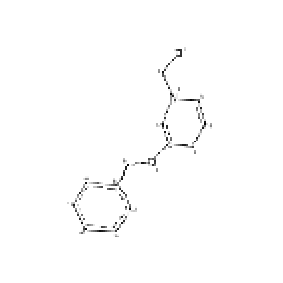 ClCN1C=CCC(OCc2ccccc2)=C1